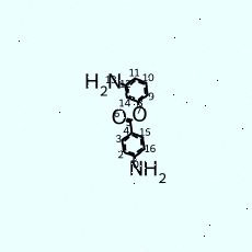 Nc1ccc(C(=O)Oc2cccc(N)c2)cc1